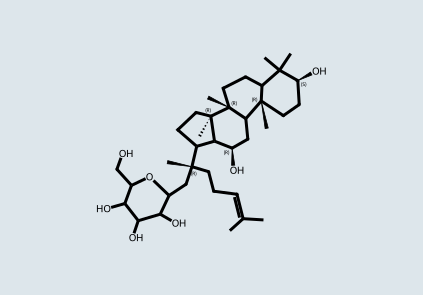 CC(C)=CCC[C@](C)(CC1OC(CO)C(O)C(O)C1O)C1CC[C@]2(C)C1[C@H](O)CC1[C@@]3(C)CC[C@H](O)C(C)(C)C3CC[C@]12C